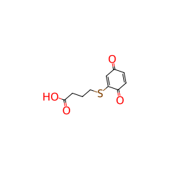 O=C1C=CC(=O)C(SCCCC(=O)O)=C1